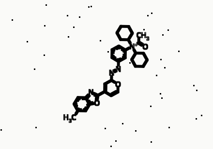 CC(=O)[N+](c1cccc(N=NC2C=C(c3nc4ccc(C)cc4o3)C=CO2)c1)(C1CCCCC1)C1CCCCC1